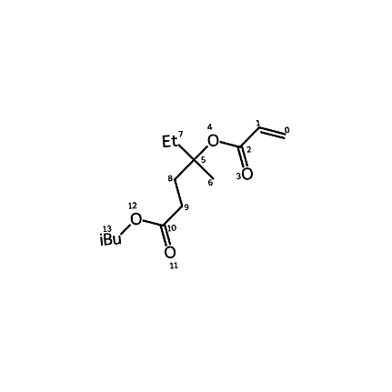 C=CC(=O)OC(C)(CC)CCC(=O)OC(C)CC